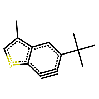 Cc1csc2c#cc(C(C)(C)C)cc12